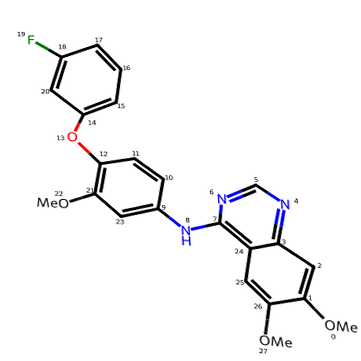 COc1cc2ncnc(Nc3ccc(Oc4cccc(F)c4)c(OC)c3)c2cc1OC